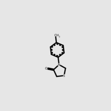 Cc1ccc(N2CSCC2=O)cc1